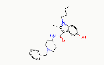 CCCCn1c(C)c(C(=O)NC2CCN(Cc3ccccc3)CC2)c2cc(O)ccc21